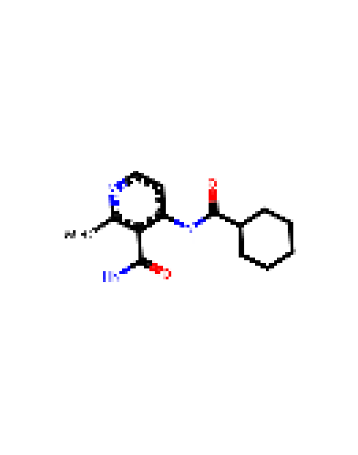 COc1nccc(NC(=O)C2CCCCC2)c1C([NH])=O